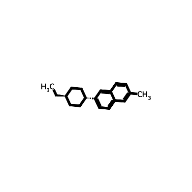 CC[C@H]1CC[C@H](c2ccc3cc(C)ccc3c2)CC1